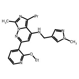 CCOc1ncccc1-c1cc(NCc2cnn(C)c2)c2c(C(C)C)nc(C)n2n1